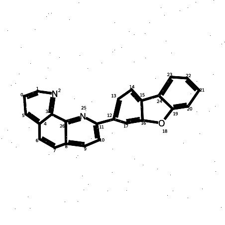 c1cnc2c(c1)ccc1ccc(-c3ccc4c(c3)oc3ccccc34)nc12